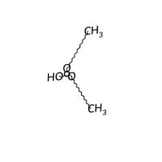 CCCCCCCCCCCCCCCCOc1cc(CO)cc(OCCCCCCCCCCCCCCCC)c1